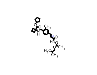 Cc1cc(/C=C/C(=O)NOC(C)OCC(C)C)ccc1CNC1(C(=O)OC2CCCC2)CCC1